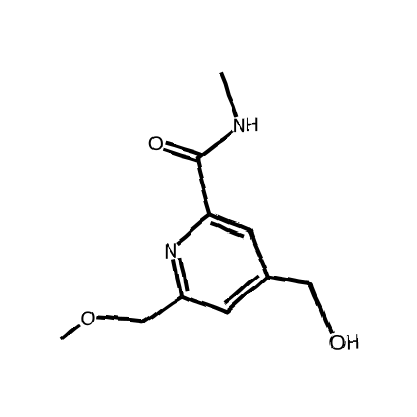 CNC(=O)c1cc(CO)cc(COC)n1